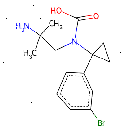 CC(C)(N)CN(C(=O)O)C1(c2cccc(Br)c2)CC1